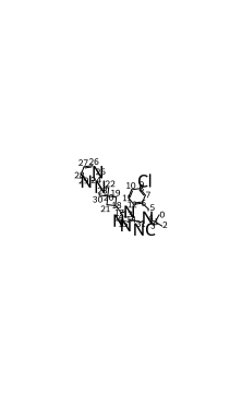 CC(C)(C#N)N1Cc2cc(Cl)ccc2-n2c(nnc2C2CC3(C2)CN(c2ncccn2)C3)C1